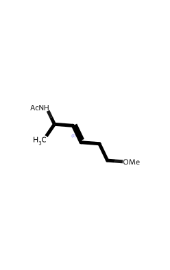 COCC/C=C/C(C)NC(C)=O